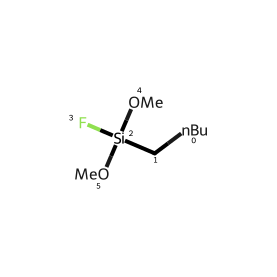 CCCCC[Si](F)(OC)OC